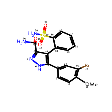 COc1ccc(-c2[nH]nc(C(N)=O)c2-c2ccccc2S(N)(=O)=O)cc1Br